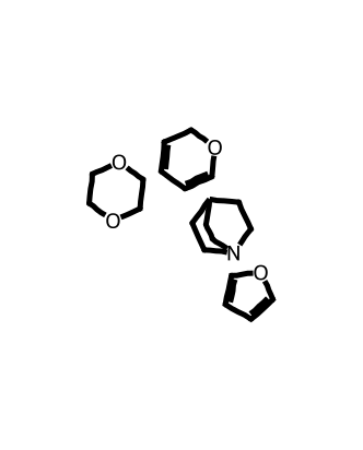 C1=CCOC=C1.C1CN2CCC1CC2.C1COCCO1.c1ccoc1